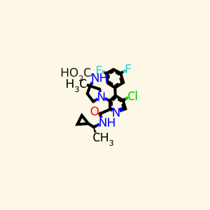 C[C@H](NC(=O)c1ncc(Cl)c(-c2cc(F)cc(F)c2)c1N1CCC(C)(NC(=O)O)C1)C1CC1